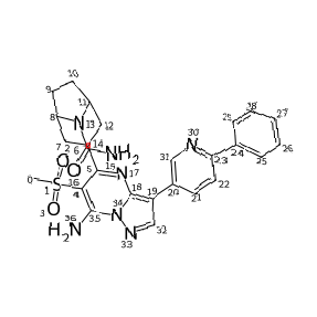 CS(=O)(=O)c1c(C2CC3CCC(C2)N3C(N)=O)nc2c(-c3ccc(-c4ccccc4)nc3)cnn2c1N